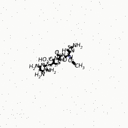 CC#CO/N=C(\C(=O)NC1C(=O)N2C(C(=O)O)=C(CSC3=NC(N)=CC(N)N3N)CS[C@@H]12)c1csc(N)n1